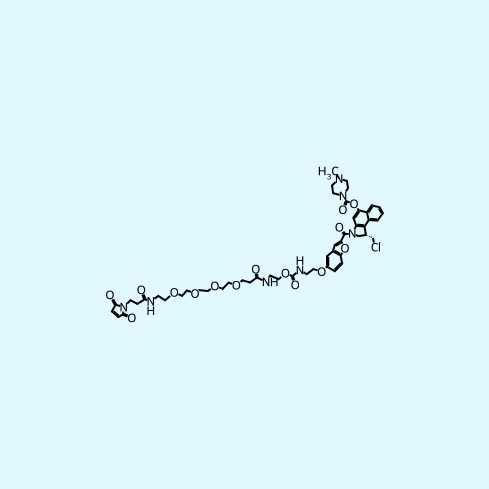 CN1CCN(C(=O)Oc2cc3c(c4ccccc24)[C@H](CCl)CN3C(=O)c2cc3cc(OCCNC(=O)OCCNC(=O)CCOCCOCCOCCOCCNC(=O)CCN4C(=O)C=CC4=O)ccc3o2)CC1